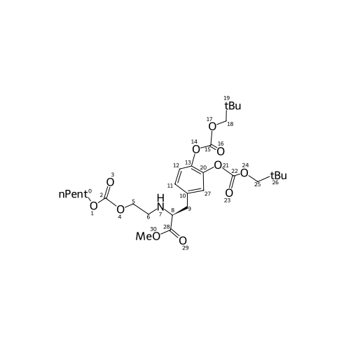 CCCCCOC(=O)OCCN[C@@H](Cc1ccc(OC(=O)OCC(C)(C)C)c(OC(=O)OCC(C)(C)C)c1)C(=O)OC